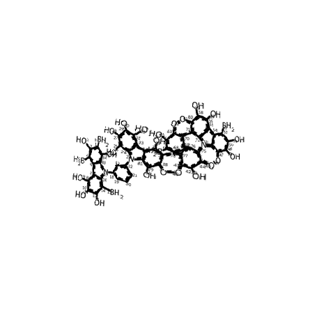 Bc1c(O)c(B)c2c3c(O)c(O)c(O)c(B)c3n(-c3cccc(-n4c5c(O)c(O)c(O)c(O)c5c5c(O)c6c(ooc7c(O)c8ooc9c(O)c(O)c(B)c%10c%11c(O)c(O)c%12ooc%13c(O)c(B)c%14c%15c%13c%12c%11n(c9%10)c8c%15c7n6%14)c(O)c54)c3)c2c1O